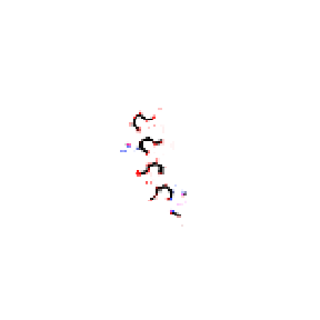 CC(=O)N[C@H]1C(O[C@@H]2OC(C(=O)O)[C@@H](O)C(O)[C@@H]2O)[C@H](O)C(CO)O[C@H]1O[C@@H]1C(C(=O)O)O[C@@H](OC2[C@H](O)C(CO)O[C@@H](NC(=O)CBr)[C@H]2NC(C)=O)[C@@H](O)C1O